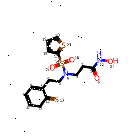 O=C(CCN(CCC1=CC=CCC1=S)S(=O)(=O)c1cccs1)NO